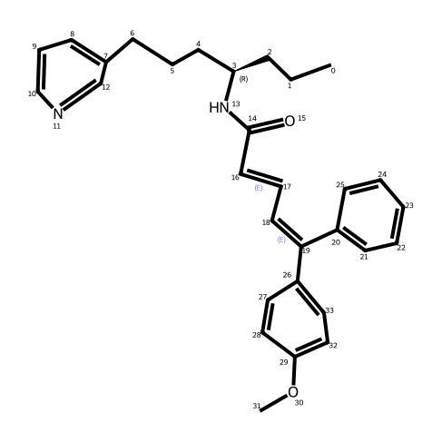 CCC[C@H](CCCc1cccnc1)NC(=O)/C=C/C=C(\c1ccccc1)c1ccc(OC)cc1